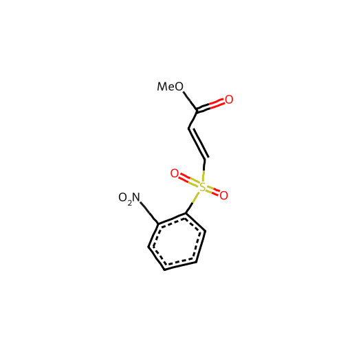 COC(=O)/C=C/S(=O)(=O)c1ccccc1[N+](=O)[O-]